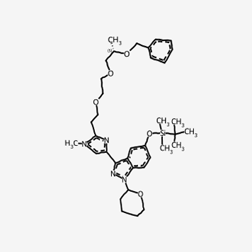 C[C@@H](COCCOCCc1nc(-c2nn(C3CCCCO3)c3ccc(O[Si](C)(C)C(C)(C)C)cc23)cn1C)OCc1ccccc1